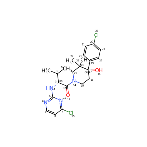 CC(C)[C@@H](Nc1nccc(Cl)n1)C(=O)N1CC[C@](O)(c2ccc(Cl)cc2)C(C)(C)C1